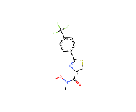 CON(C)C(=O)[C@@H]1CSC(c2ccc(C(F)(F)F)cc2)=N1